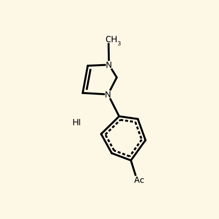 CC(=O)c1ccc(N2C=CN(C)C2)cc1.I